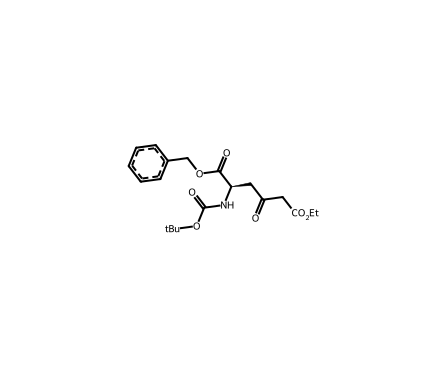 CCOC(=O)CC(=O)C[C@@H](NC(=O)OC(C)(C)C)C(=O)OCc1ccccc1